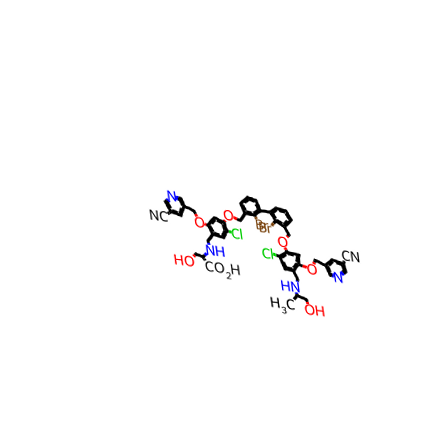 CC(CO)NCc1cc(Cl)c(OCc2cccc(-c3cccc(COc4cc(OCc5cncc(C#N)c5)c(CNC(CO)C(=O)O)cc4Cl)c3Br)c2Br)cc1OCc1cncc(C#N)c1